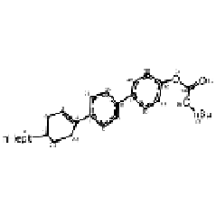 CCCCCCCC1CC=C(c2ccc(-c3ccc(OC(=O)OCCCC)cc3)cc2)CC1